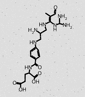 C/C(C=O)=C(\NCC(N)CNc1ccc(C(=O)NC(CCC(=O)O)C(=O)O)cc1)NC(N)N